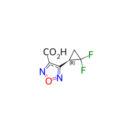 O=C(O)c1nonc1[C@H]1CC1(F)F